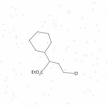 CCOC(=O)C(CCCl)C1CCCCC1